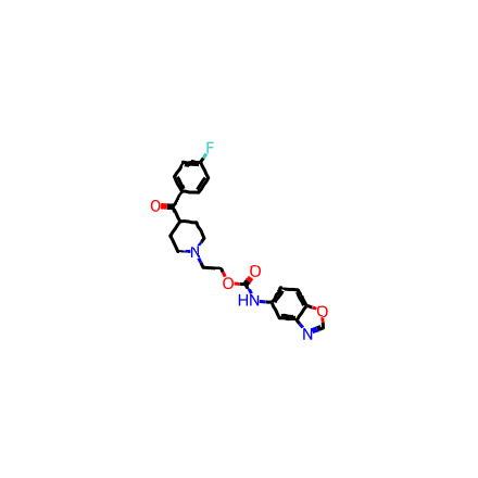 O=C(Nc1ccc2ocnc2c1)OCCN1CCC(C(=O)c2ccc(F)cc2)CC1